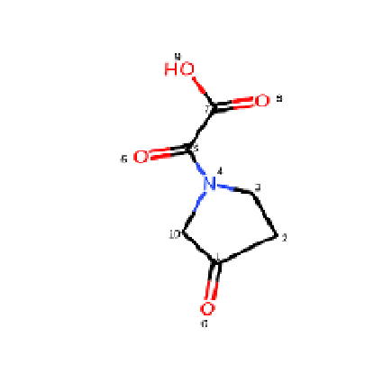 O=C1CCN(C(=O)C(=O)O)C1